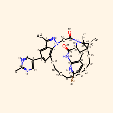 CC(=O)c1nn2c3c(cc(-c4cnc(C)nc4)cc13)CCCCCCCCC[C@@]13C[C@@H](C(=O)Nc4nc(Br)ccc4C)N(C(=O)C2)[C@@H]1[C@@H]3C